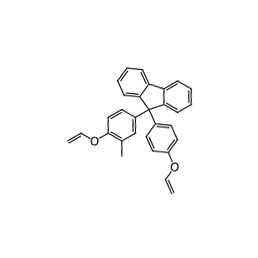 C=COc1ccc(C2(c3ccc(OC=C)c(C)c3)c3ccccc3-c3ccccc32)cc1